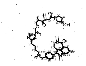 CC(COCN(C)n1cc(CCCCN(C)Cc2ccc(-c3[nH]c4cc(F)cc5c4c3CCNC5=O)cc2)nn1)C(=O)NCC(=O)N1CC[C@@H](O)C1